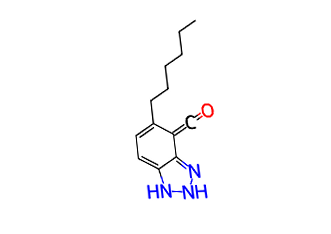 CCCCCCc1ccc2c(c1=C=O)=NNN2